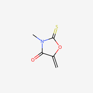 C=C1OC(=S)N(C)C1=O